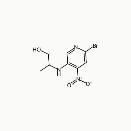 CC(CO)Nc1cnc(Br)cc1[N+](=O)[O-]